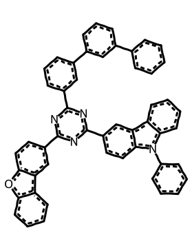 c1ccc(-c2cccc(-c3cccc(-c4nc(-c5ccc6oc7ccccc7c6c5)nc(-c5ccc6c(c5)c5ccccc5n6-c5ccccc5)n4)c3)c2)cc1